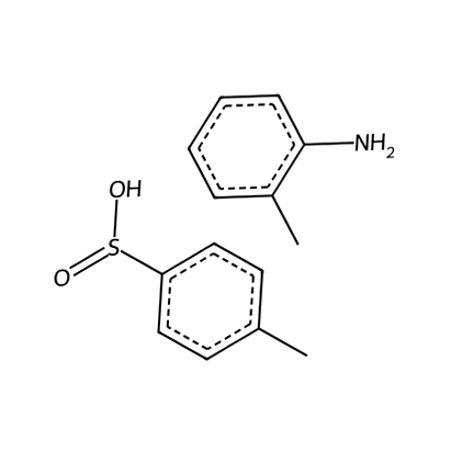 Cc1ccc(S(=O)O)cc1.Cc1ccccc1N